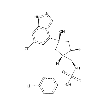 O=S(=O)(Nc1ccc(Cl)cc1)N[C@H]1[C@@H]2C[C@](O)(c3cc(Cl)cc4[nH]ncc34)C[C@@H]21